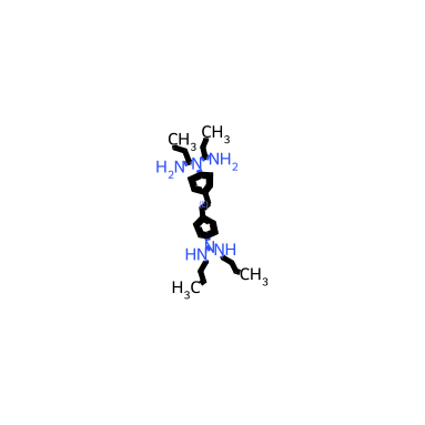 CCCCNN(NCCCC)c1ccc(/C=C/c2ccc(N(C(N)CCC)C(N)CCC)cc2)cc1